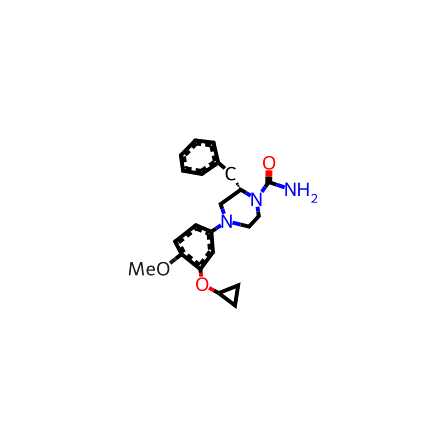 COc1ccc(N2CCN(C(N)=O)[C@@H](Cc3ccccc3)C2)cc1OC1CC1